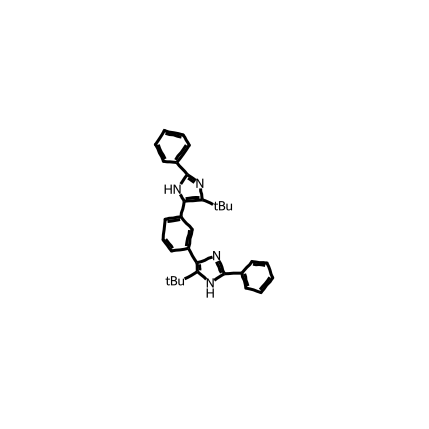 CC(C)(C)c1nc(-c2ccccc2)[nH]c1-c1cccc(-c2nc(-c3ccccc3)[nH]c2C(C)(C)C)c1